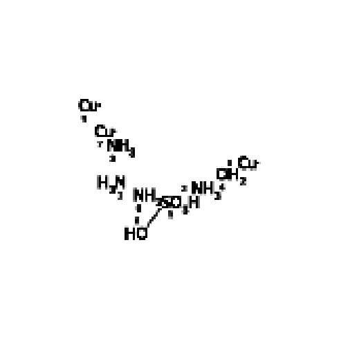 N.N.N.N.O.O=S(=O)(O)O.[Cu].[Cu].[Cu]